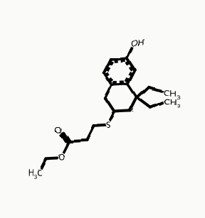 CCOC(=O)CCSC1[C]C(CC)(CC)c2cc(O)ccc2C1